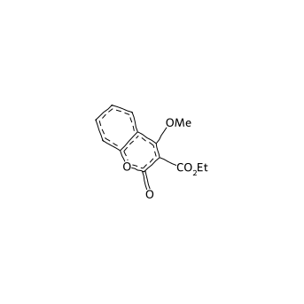 CCOC(=O)c1c(OC)c2ccccc2oc1=O